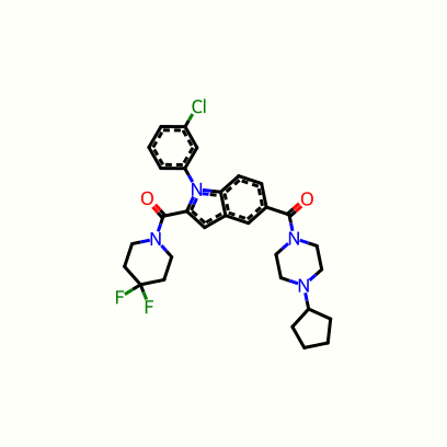 O=C(c1ccc2c(c1)cc(C(=O)N1CCC(F)(F)CC1)n2-c1cccc(Cl)c1)N1CCN(C2CCCC2)CC1